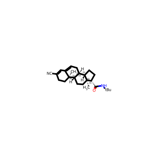 CC(C)(C)NC(=O)[C@H]1CC[C@H]2[C@@H]3CC=C4C=C(C#N)CC[C@]4(C)[C@H]3CC[C@]12C